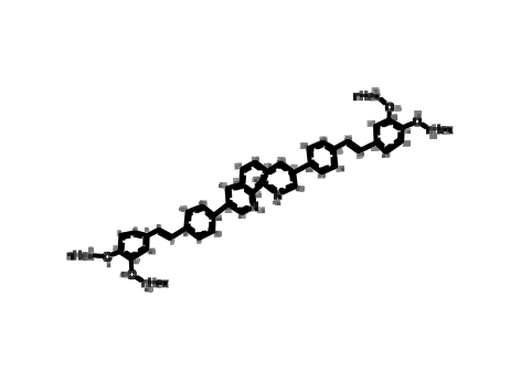 CCCCCCOc1ccc(C=Cc2ccc(-c3cnc4c(ccc5cc(-c6ccc(C=Cc7ccc(OCCCCCC)c(OCCCCCC)c7)cc6)cnc54)c3)cc2)cc1OCCCCCC